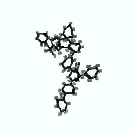 CC1(C)c2ccccc2-c2cc3c(cc21)-c1c(-c2cccc(C4C=C(C5=CCC(C6C=CC=CC6)C=C5)N=C(c5ccccc5)N4)c2)cccc1C31CCCCC1